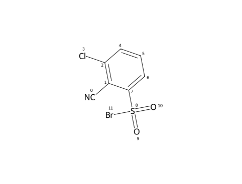 N#Cc1c(Cl)cccc1S(=O)(=O)Br